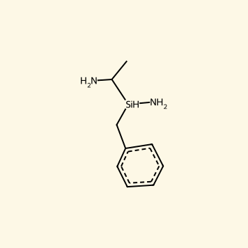 CC(N)[SiH](N)Cc1ccccc1